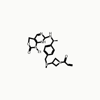 C=CC(=O)N1CC(N(C)Cc2ccc([C@H](C)NC3N=CC4=C(N3)N(CC)C(=O)OC4)cc2)C1